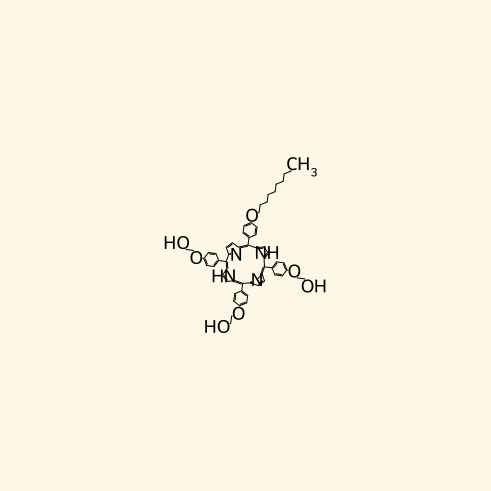 CCCCCCCCCCOc1ccc(-c2c3nc(c(-c4ccc(OCCO)cc4)c4ccc([nH]4)c(-c4ccc(OCCO)cc4)c4nc(c(-c5ccc(OCCO)cc5)c5ccc2[nH]5)C=C4)C=C3)cc1